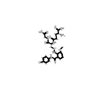 COc1cccc(C(=O)Nc2ccc(Cl)cc2)c1[Se]SC[C@@H](NC(=O)CC[C@@H](N)C(=O)O)C(=O)NCC(=O)O